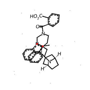 Cc1nc2ccccc2n1[C@H]1C[C@H]2CC[C@@H](C1)N2CCC1(c2ccccc2)CCN(C(=O)c2ccccc2C(=O)O)CC1